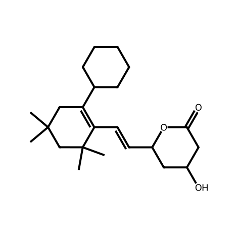 CC1(C)CC(C2CCCCC2)=C(C=CC2CC(O)CC(=O)O2)C(C)(C)C1